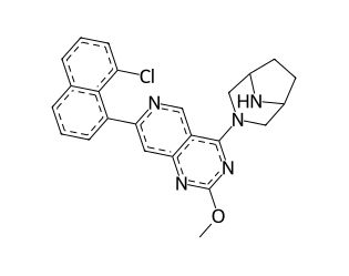 COc1nc(N2CC3CCC(C2)N3)c2cnc(-c3cccc4cccc(Cl)c34)cc2n1